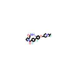 CC(C)(F)CN1CCC(COc2ccc(-c3ccc(C(=O)N4CCC[C@H]4CC(N)=O)c(F)c3)c(F)c2)CC1